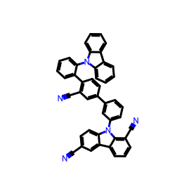 N#Cc1ccc2c(c1)c1cccc(C#N)c1n2-c1cccc(-c2ccc(-c3ccccc3-n3c4ccccc4c4ccccc43)c(C#N)c2)c1